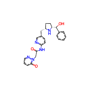 O=C(Cn1ncccc1=O)Nc1ccc(C[C@@H]2CC[C@H](C(O)c3ccccc3)N2)cn1